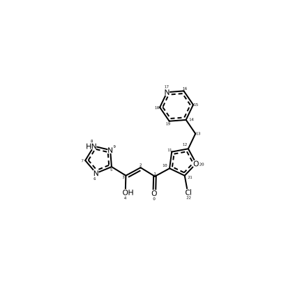 O=C(C=C(O)c1nc[nH]n1)c1cc(Cc2ccncc2)oc1Cl